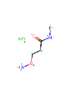 CCNC(=O)CCON.Cl